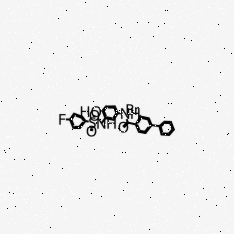 O=C(Nc1ccc(O)c(NS(=O)(=O)c2ccc(F)cc2)c1)c1ccc(-c2ccccc2)cc1Br